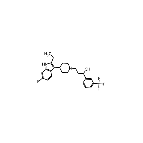 CCc1[nH]c2cc(F)ccc2c1C1CCN(CCC(S)c2cccc(C(F)(F)F)c2)CC1